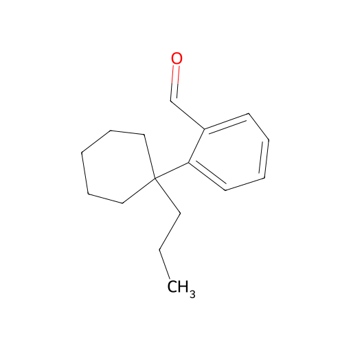 CCCC1(c2ccccc2C=O)CCCCC1